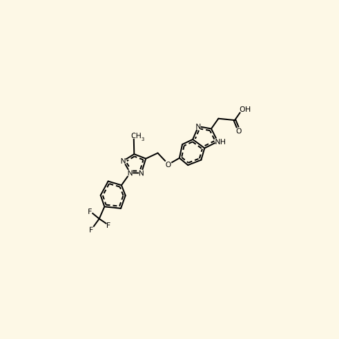 Cc1nn(-c2ccc(C(F)(F)F)cc2)nc1COc1ccc2[nH]c(CC(=O)O)nc2c1